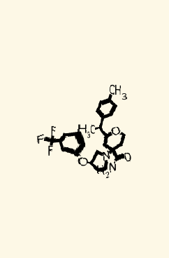 Cc1ccc([C@H](C)C2CC(C(N)=O)(N3CC[C@@H](Oc4cccc(C(F)(F)F)c4)C3)CCO2)cc1